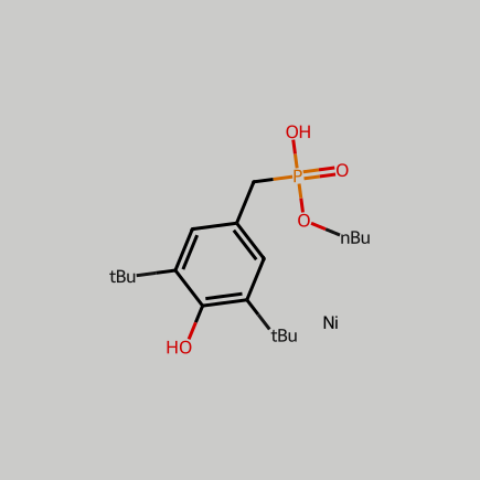 CCCCOP(=O)(O)Cc1cc(C(C)(C)C)c(O)c(C(C)(C)C)c1.[Ni]